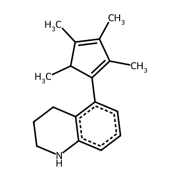 CC1=C(C)C(C)C(c2cccc3c2CCCN3)=C1C